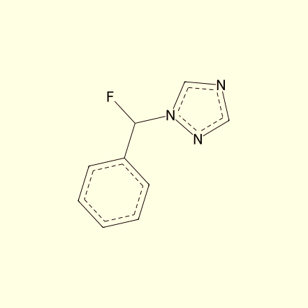 FC(c1ccccc1)n1cncn1